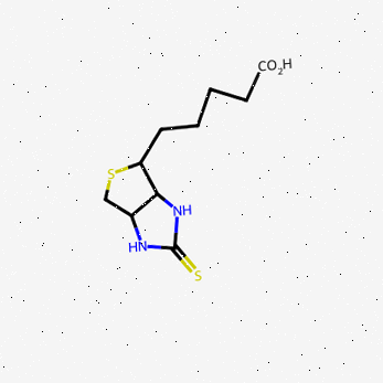 O=C(O)CCCCC1SCC2NC(=S)NC21